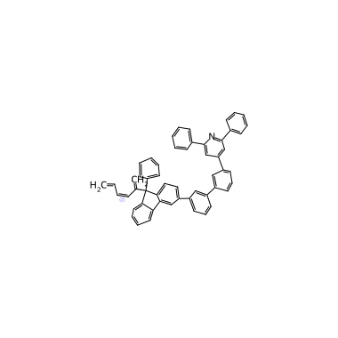 C=C/C=C\C(=C)C1(c2ccccc2)c2ccccc2-c2cc(-c3cccc(-c4cccc(-c5cc(-c6ccccc6)nc(-c6ccccc6)c5)c4)c3)ccc21